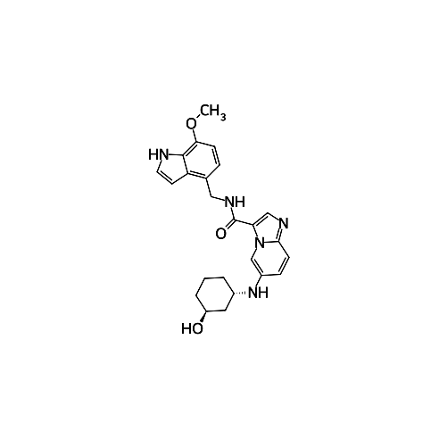 COc1ccc(CNC(=O)c2cnc3ccc(N[C@H]4CCC[C@H](O)C4)cn23)c2cc[nH]c12